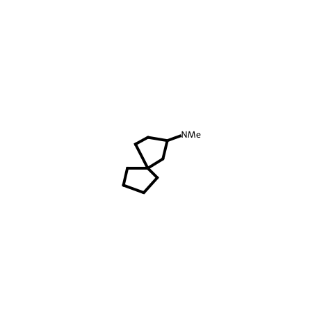 CNC1CCC2(CCCC2)C1